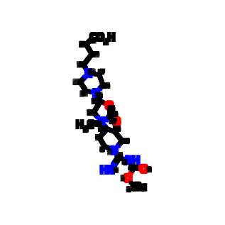 CC(C)(C)OC(=O)NC(=N)N1CCC([N+]2(C)CC(N3CCN(CCCC(=O)O)CC3)OC2=O)CC1